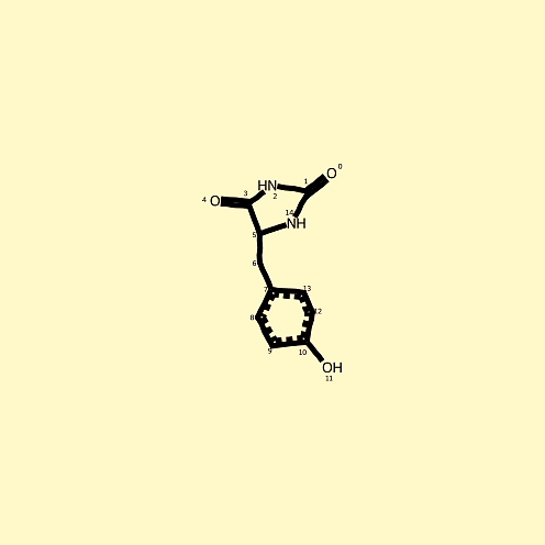 O=C1NC(=O)C(Cc2ccc(O)cc2)N1